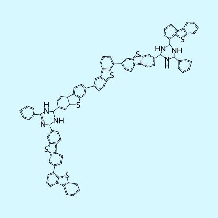 C1=CC2c3ccc(-c4ccc5sc6c(-c7ccc8c(c7)sc7cc(C9NC(c%10ccccc%10)NC(c%10cccc%11c%10sc%10ccccc%10%11)N9)ccc78)cccc6c5c4)cc3SC2C=C1C1NC(c2ccccc2)=NC(c2ccc3c(c2)sc2cc(-c4cccc5c4sc4ccccc45)ccc23)N1